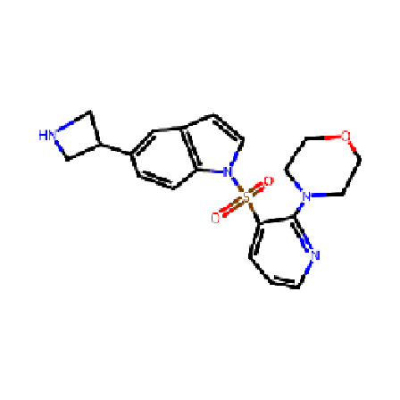 O=S(=O)(c1cccnc1N1CCOCC1)n1ccc2cc(C3CNC3)ccc21